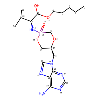 CCCCCOC(O)[C@@H](NP1(=O)CO[C@@H](Cn2cnc3c(N)ncnc32)CO1)C(C)C